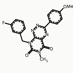 COc1ccc(-c2nnc3c(n2)c(=O)n(C)c(=O)n3Cc2cccc(F)c2)cc1